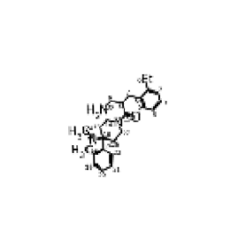 CCc1ccccc1CC(CN)C(=O)N1CCC(c2ccccc2)(N(C)C)CC1